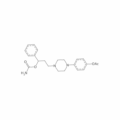 CC(=O)Oc1ccc(N2CCN(CCC(OC(N)=O)c3ccccc3)CC2)cc1